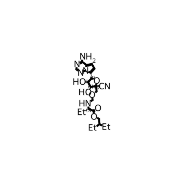 CCC(CC)COC(=O)[C@H](CC)NCOC[C@@]1(C#N)O[C@@H](c2ccc3c(N)ncnn23)[C@H](O)[C@@H]1O